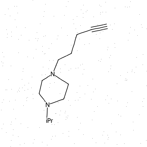 C#CCCCN1CCN(C(C)C)CC1